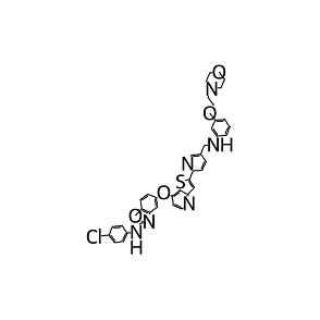 Clc1ccc(Nc2nc3cc(Oc4ccnc5cc(-c6ccc(CNc7cccc(OCCN8CCOCC8)c7)cn6)sc45)ccc3o2)cc1